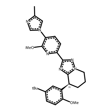 COc1ccc(C(C)(C)C)cc1[C@@H]1CCCn2nc(-c3ccc(-n4cnc(C)c4)c(OC)n3)nc21